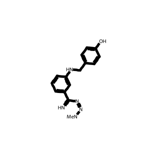 CN/N=N\C(=N)c1cccc(NCc2ccc(O)cc2)c1